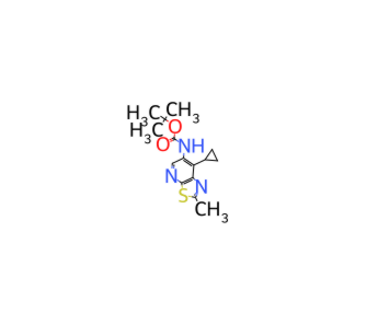 Cc1nc2c(C3CC3)c(NC(=O)OC(C)(C)C)cnc2s1